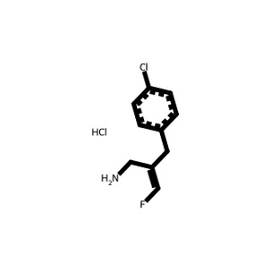 Cl.NC/C(=C\F)Cc1ccc(Cl)cc1